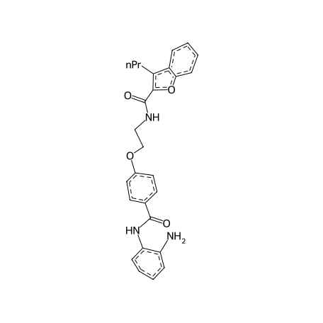 CCCc1c(C(=O)NCCOc2ccc(C(=O)Nc3ccccc3N)cc2)oc2ccccc12